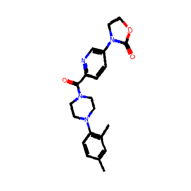 Cc1ccc(N2CCN(C(=O)c3ccc(N4CCOC4=O)cn3)CC2)c(C)c1